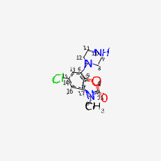 Cn1c(=O)oc2c(N3CCNCC3)cc(Cl)cc21